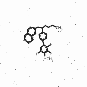 CCCCC(Cc1ccc2ccccc2c1)c1ccc(-c2cc(F)c(OC)c(F)c2F)cc1